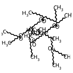 CCCCCCCCC(CCCCCC)C(=O)OCCCCCCN(CCCCCCOC(=O)C(CCCCCC)C(CCCCCCC)CCCCCCC(CCCCCCCC)C(=O)OCCCCCCN(CCCCCCOC(=O)C(CCCCCC)CCCCCCCC)CCN(C)CCCC(=O)N(CC)CC)CCCCN(C)CCCCC(=O)N(CCCCCCCC)CCCCCCCC